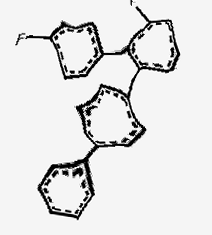 Fc1ccc(-c2c(-c3ccc(-c4ccccc4)cc3)[c]ccc2F)cc1